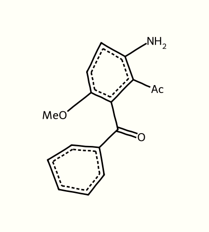 COc1ccc(N)c(C(C)=O)c1C(=O)c1ccccc1